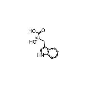 O=C(O)[C@@H](O)Cc1c[nH]c2ccccc12